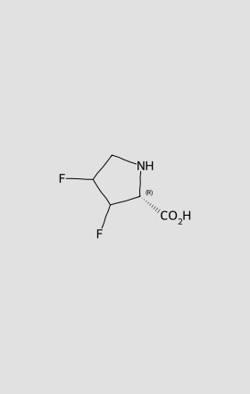 O=C(O)[C@H]1NCC(F)C1F